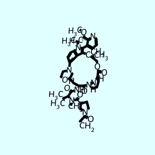 C=CC(=O)N1CC[C@H](C(=O)N(C)C(C(=O)N[C@H]2C[C@@H]3CN(CCO3)c3ccc4c(c3)c(c(-c3cccnc3[C@H](C)OC)n4CC)CC(C)(C)COC(=O)[C@@H]3CCCN(N3)C2=O)C(C)C)C1